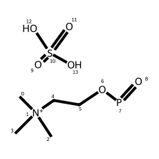 C[N+](C)(C)CCOP=O.O=S(=O)(O)O